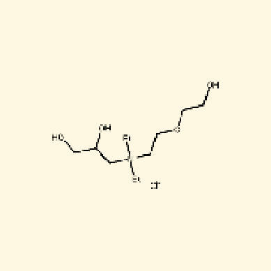 CC[N+](CC)(CCOCCO)CC(O)CO.[Cl-]